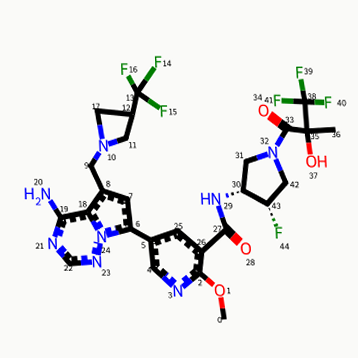 COc1ncc(-c2cc(CN3CC(C(F)(F)F)C3)c3c(N)ncnn23)cc1C(=O)N[C@@H]1CN(C(=O)C(C)(O)C(F)(F)F)C[C@@H]1F